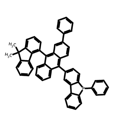 CC1(C)c2ccccc2-c2c(-c3c4ccccc4c(-c4ccc5c(c4)c4ccccc4p5-c4ccccc4)c4ccc(-c5ccccc5)cc34)cccc21